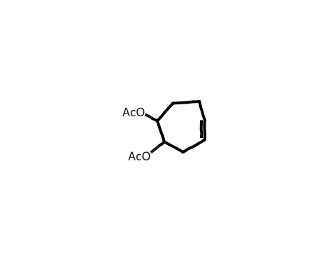 CC(=O)OC1CC=CCCC1OC(C)=O